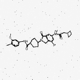 COc1cc(NC(=O)C2CCC(N3Cc4c(Br)cc(NC(=O)CN5CCC5)cc4C3=O)CC2)ccc1C